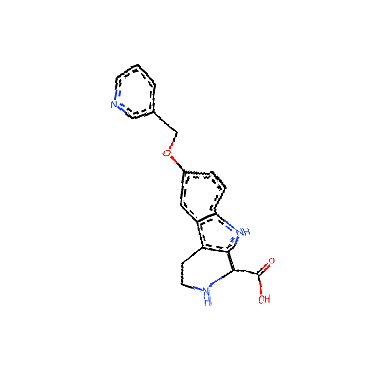 O=C(O)C1NCCc2c1[nH]c1ccc(OCc3cccnc3)cc21